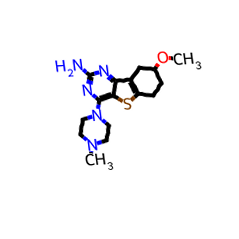 COC1CCc2sc3c(N4CCN(C)CC4)nc(N)nc3c2C1